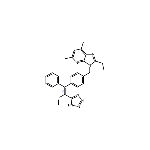 CCc1nc2c(C)cc(C)nc2n1Cc1ccc(/C(=C(/SC)c2nnn[nH]2)c2ccccc2)cc1